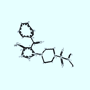 CN(C)S(=O)(=O)N1CCN([n+]2noc([NH-])c2C(=O)c2ccccc2)CC1